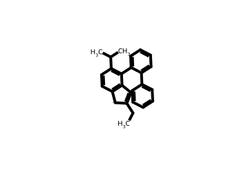 CCC1=Cc2c(ccc(C(C)C)c2-c2ccccc2-c2ccccc2)[CH]1